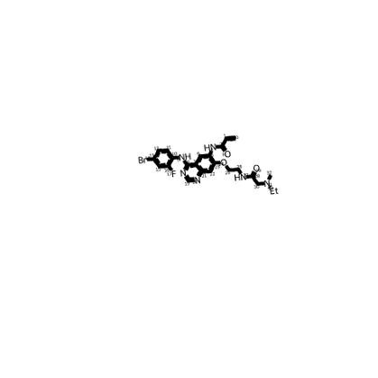 C=CC(=O)Nc1cc2c(Nc3ccc(Br)cc3F)ncnc2cc1OCCNC(=O)CN(C)CC